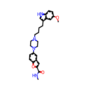 CNC(=O)c1cc2cc(N3CCN(CCCCc4c[nH]c5ccc(OC)cc45)CC3)ccc2o1